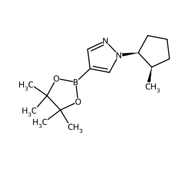 C[C@@H]1CCC[C@@H]1n1cc(B2OC(C)(C)C(C)(C)O2)cn1